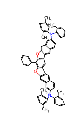 Cc1ccc(C)c(N(c2ccc3cc4c(cc3c2)oc2c(-c3ccccc3)c3oc5cc6cc(N(c7ccccc7C)c7cc(C)ccc7C)ccc6cc5c3cc24)c2ccccc2C)c1